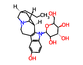 CC[C@H]1C[C@H]2C[C@H]3c4c(c5cc(O)ccc5n4[C@H]4OC(CO)[C@@H](O)[C@H](O)C4O)CCN(C2)C13